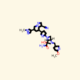 COc1ccc(CN2CC(O)(C(N)=O)[C@H]3[C@@H]2CN3c2ccc(-c3cc(-c4cnn(C)c4)cn4ncc(C#N)c34)cn2)cn1